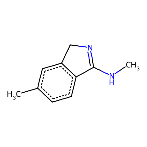 CNC1=NCc2cc(C)ccc21